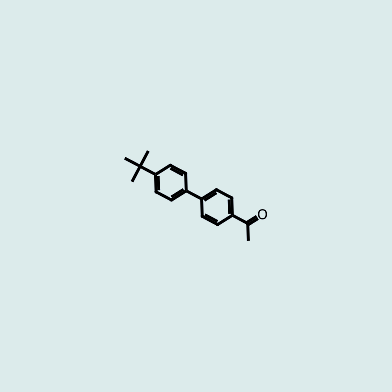 CC(=O)c1ccc(-c2ccc(C(C)(C)C)cc2)cc1